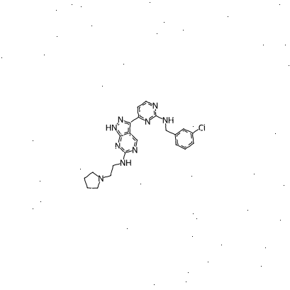 Clc1cccc(CNc2nccc(-c3n[nH]c4nc(NCCN5CCCC5)ncc34)n2)c1